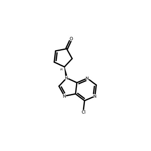 O=C1C=C[C@H](n2cnc3c(Cl)ncnc32)C1